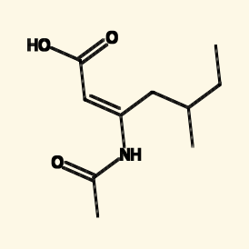 CCC(C)CC(=CC(=O)O)NC(C)=O